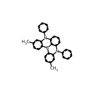 Cc1ccc2c(c1)N(c1ccccc1)c1cccc3c1B2c1ccc(C)cc1N3c1ccccc1